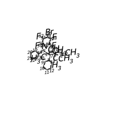 CC(C)CC(C)(C)C(c1ccccc1)C(C)(C)C(c1ccccc1)[n+]1c(F)c(F)c(Br)c(F)c1F